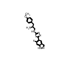 COc1ccc(CC(N)CNc2nnc(-c3cc4cn[nH]c4cc3F)s2)cc1